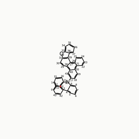 c1ccc(-c2ccccc2N(c2ccccc2)c2ccc3c4ccccc4c4c(ccc5oc6ccccc6c54)c3c2)cc1